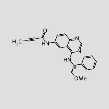 CC#CC(=O)Nc1ccc2ncnc(N[C@H](COC)c3ccccc3)c2c1